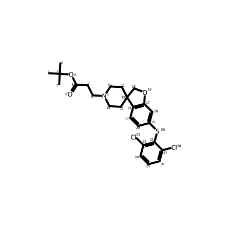 CC(C)(C)OC(=O)CCN1CCC2(CC1)COc1cc(Sc3c(Cl)cccc3Cl)ccc12